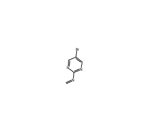 C=Nc1ncc(Br)cn1